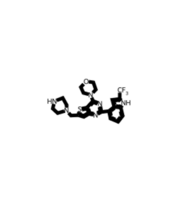 FC(F)(F)c1cc2c(-c3nc(N4CCOCC4)c4sc(CN5CCNCC5)cc4n3)cccc2[nH]1